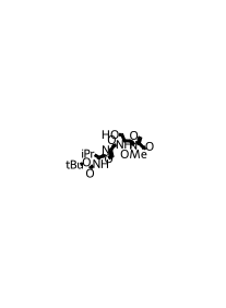 COC(=O)c1coc(C(CO)NC(=O)c2coc(C(NC(=O)OC(C)(C)C)C(C)C)n2)n1